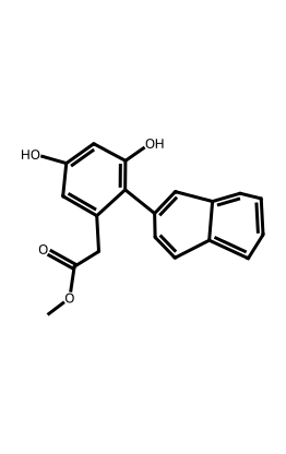 COC(=O)Cc1cc(O)cc(O)c1-c1ccc2ccccc2c1